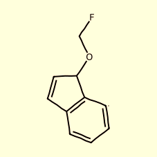 FCOC1C=Cc2ccc[c]c21